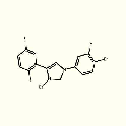 CCN1CN(c2ccc(Br)c(F)c2)C=C1c1cc(F)ccc1F